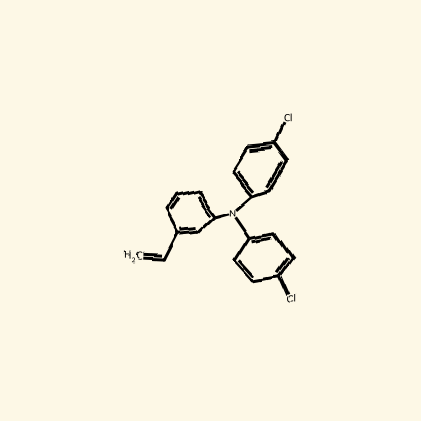 C=Cc1cccc(N(c2ccc(Cl)cc2)c2ccc(Cl)cc2)c1